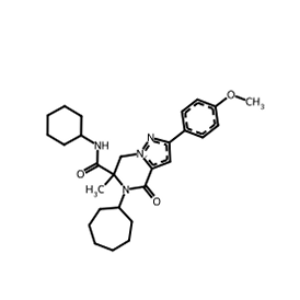 COc1ccc(-c2cc3n(n2)CC(C)(C(=O)NC2CCCCC2)N(C2CCCCCC2)C3=O)cc1